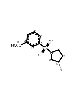 C[C@H]1CCN(S(=O)(=O)c2cccc(C(=O)O)c2)C1